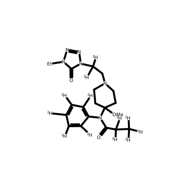 [2H]c1c([2H])c([2H])c(N(C(=O)C([2H])([2H])C([2H])([2H])[2H])C2(OC)CCN(CC([2H])([2H])n3nnn(CC)c3=O)CC2)c([2H])c1[2H]